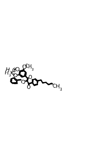 CCCCCCc1ccc2c(=O)c(OCc3ccccc3)c(-c3cc(OC)c(OC)c(OC)c3)oc2c1